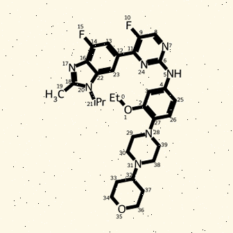 CCOc1cc(Nc2ncc(F)c(-c3cc(F)c4nc(C)n(C(C)C)c4c3)n2)ccc1N1CCN(C2CCOCC2)CC1